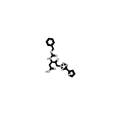 O=C(O)CC(NC(=O)OCc1ccccc1)C(=O)Cn1nnc(-c2cccs2)n1